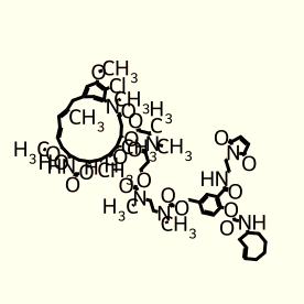 COc1cc2cc(c1Cl)N(C)C(=O)C[C@H](OC(=O)[C@H](C)N(C)C(=O)CCOC(=O)N(C)CCN(C)C(=O)OCc1ccc(OC(=O)NC3C/C=C/CCCC3)c(C(=O)NCCN3C(=O)C=CC3=O)c1)[C@]1(C)O[C@H]1[C@H](C)[C@@H]1C[C@@](O)(NC(=O)O1)[C@H](OC)/C=C/C=C(\C)C2